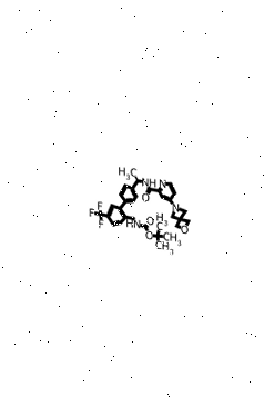 C[C@@H](NC(=O)c1cc(N2CC3(COC3)C2)ccn1)c1ccc(-c2cc(C(F)(F)F)ccc2CNC(=O)OC(C)(C)C)cc1